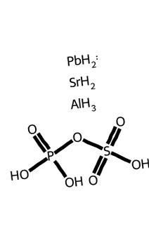 O=P(O)(O)OS(=O)(=O)O.[AlH3].[PbH2].[SrH2]